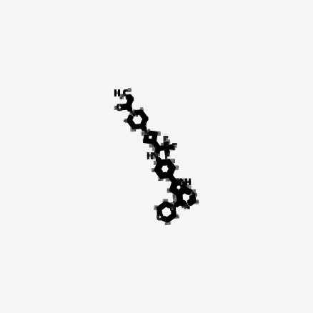 C=CC(=O)N1CCC(N2CC(C(Nc3ccc(-c4cc5c(N6CCOCC6)ncnc5[nH]4)cc3)C(F)(F)F)C2)CC1